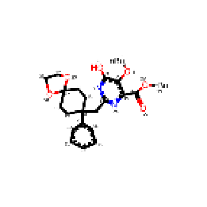 CCCCOc1c(O)nc(CC2(c3ccccc3)CCC3(CC2)OCCO3)nc1C(=O)OC(C)(C)C